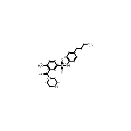 CCCCc1ccc(NS(=O)(=O)c2ccc(C)c(C(=O)N3CCNCC3)c2)cc1